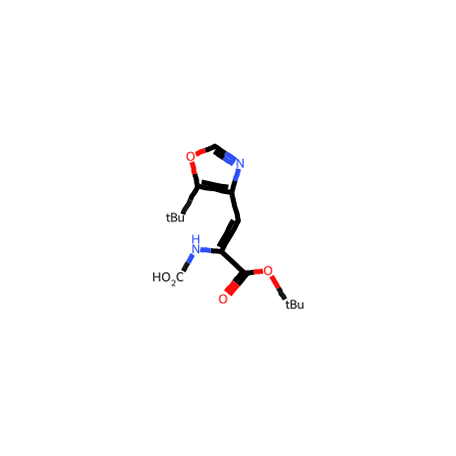 CC(C)(C)OC(=O)C(=Cc1ncoc1C(C)(C)C)NC(=O)O